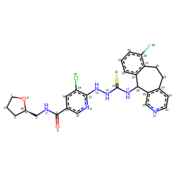 O=C(NC[C@H]1CCCO1)c1cnc(NNC(=S)NC2c3cnccc3CCc3c(F)cccc32)c(Cl)c1